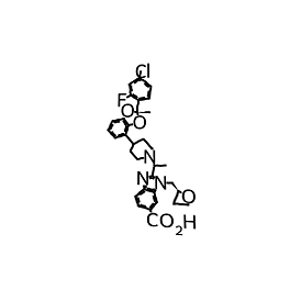 CC(c1nc2ccc(C(=O)O)cc2n1C[C@@H]1CCO1)N1CCC(c2cccc3c2O[C@@](C)(c2ccc(Cl)cc2F)O3)CC1